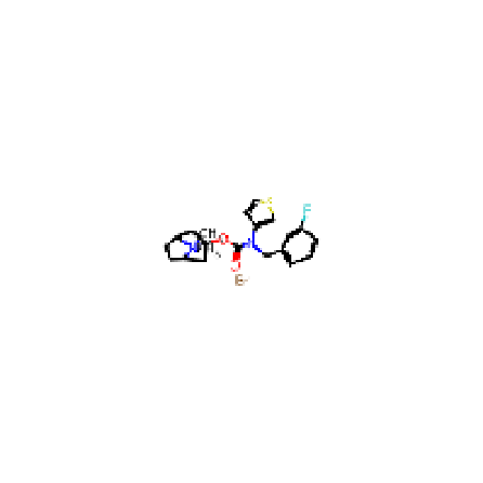 C[N+]1(C)C2CCC1CC(OC(=O)N(Cc1cccc(F)c1)c1ccsc1)C2.[Br-]